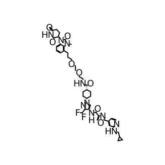 Cn1c(=O)n(C2CCC(=O)NC2=O)c2cccc(CCCOCCOCCNC(=O)[C@H]3CC[C@@H](n4cc(NC(=O)c5coc(-c6ccnc(NCC7CC7)c6)n5)c(C(F)F)n4)CC3)c21